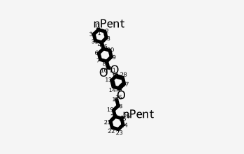 CCCCCC1CCC(C2CCC(C(=O)Oc3ccc(OCCCC4CCCCC4CCCCC)cc3)CC2)CC1